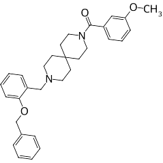 COc1cccc(C(=O)N2CCC3(CCN(Cc4ccccc4OCc4ccccc4)CC3)CC2)c1